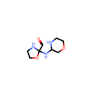 O=CC1(NC2COCCN2)NCCO1